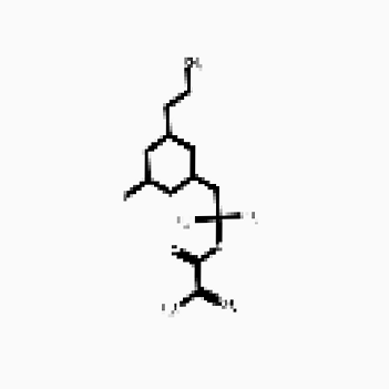 C=C(C)C(=O)OC(C)(C)CC1CC(I)CC(CCC)C1